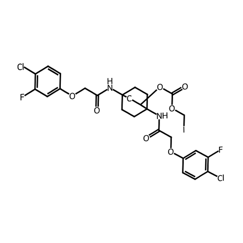 O=C(COc1ccc(Cl)c(F)c1)NC12CCC(NC(=O)COc3ccc(Cl)c(F)c3)(CC1)C(OC(=O)OCI)C2